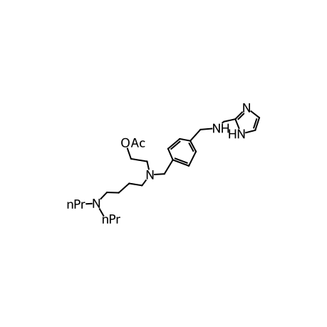 CCCN(CCC)CCCCN(CCOC(C)=O)Cc1ccc(CNCc2ncc[nH]2)cc1